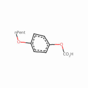 CCCCCOc1ccc(OC(=O)O)cc1